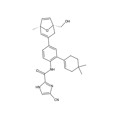 CC1(C)CC=C(c2cc(C3=C[C@@]4(C)C=C[C@@](CO)(C3)O4)ccc2NC(=O)c2nc(C#N)c[nH]2)CC1